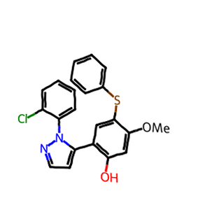 COc1cc(O)c(-c2ccnn2-c2ccccc2Cl)cc1Sc1ccccc1